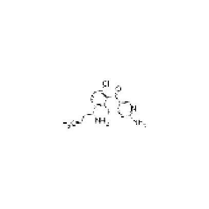 C=CC[C@@H](N)c1ccc(Cl)c(C(=O)c2ccc(N)nc2)c1F